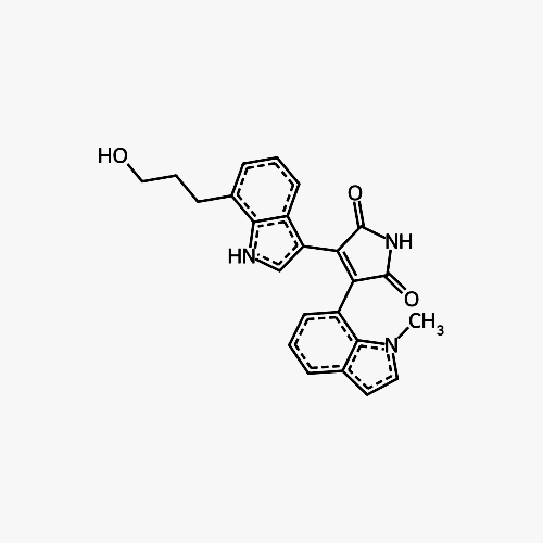 Cn1ccc2cccc(C3=C(c4c[nH]c5c(CCCO)cccc45)C(=O)NC3=O)c21